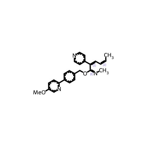 C\C=C/C=C(\C(=N/C)OCc1ccc(-c2ccc(OC)cn2)cc1)c1ccncc1